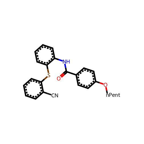 CCCCCOc1ccc(C(=O)Nc2ccccc2Sc2ccccc2C#N)cc1